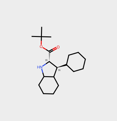 CC(C)(C)OC(=O)[C@H]1NC2CCCCC2[C@@H]1C1CCCCC1